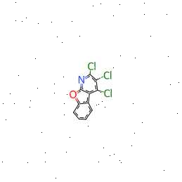 Clc1nc2oc3ccccc3c2c(Cl)c1Cl